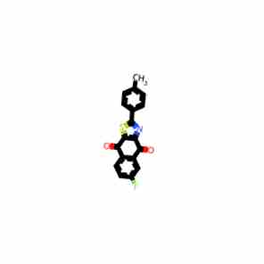 Cc1ccc(-c2nc3c(s2)C(=O)c2ccc(F)cc2C3=O)cc1